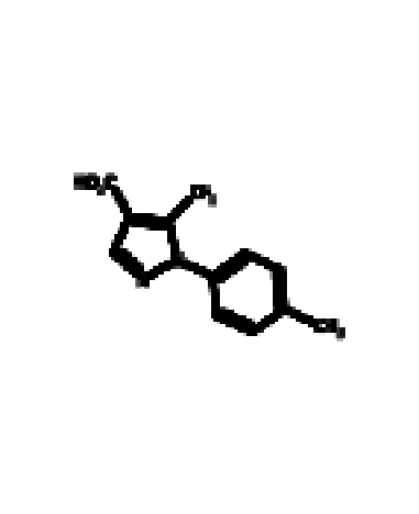 Cc1ccc(-n2ncc(C(=O)O)c2C(F)(F)F)cc1